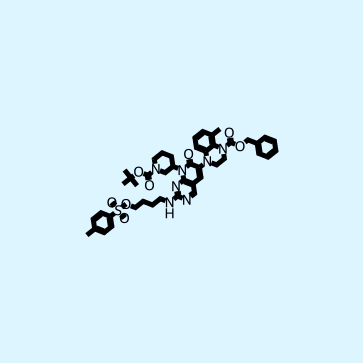 Cc1ccc(S(=O)(=O)OCCCCNc2ncc3cc(N4CCN(C(=O)OCc5ccccc5)c5c(C)cccc54)c(=O)n(C4CCCN(C(=O)OC(C)(C)C)C4)c3n2)cc1